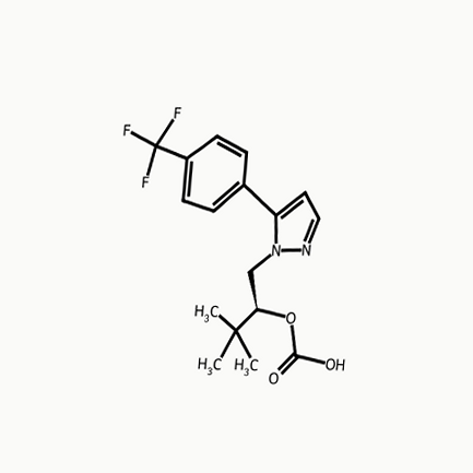 CC(C)(C)[C@@H](Cn1nccc1-c1ccc(C(F)(F)F)cc1)OC(=O)O